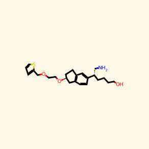 NC[C@H](CCCCO)c1ccc2c(c1)CC[C@H](OCCOCc1cccs1)C2